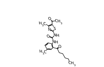 CCCCCC(=O)c1cc(C)ccc1NC(=O)Nc1nc(C)c(C(C)=O)s1